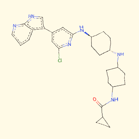 O=C(NC1CCC(N[C@H]2CC[C@H](Nc3cc(-c4c[nH]c5ncccc45)cc(Cl)n3)CC2)CC1)C1CC1